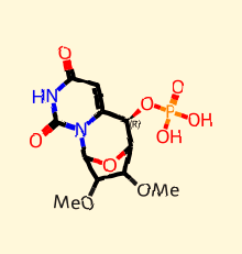 COC1C(OC)C2OC1[C@H](OP(=O)(O)O)c1cc(=O)[nH]c(=O)n12